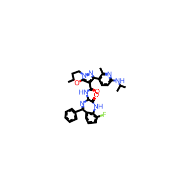 Cc1nc(NC(C)C)ccc1-c1nn2c(c1C(=O)NC1N=C(c3ccccc3)c3cccc(F)c3NC1=O)OC(C)CC2